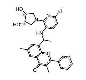 Cc1cc(C(C)Nc2ccc(Cl)nc2N2C[C@H](O)[C@@H](O)C2)c2oc(-c3cccnc3)c(C)c(=O)c2c1